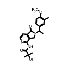 Cc1cc(C(C)N2Cc3c(ccnc3NC(=O)C(C)(C)O)C2=O)ccc1OC(F)(F)F